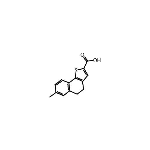 Cc1ccc2c(c1)CCc1cc(C(=O)O)sc1-2